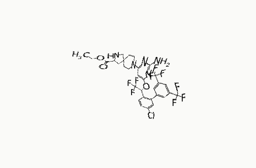 CCOC(=O)[C@@H]1CC2(CCN(c3cc(O[C@H](c4ccc(Cl)cc4-c4cc(C(F)(F)F)cc(C(F)(F)F)c4)C(F)(F)F)nc(N)n3)CC2)CN1